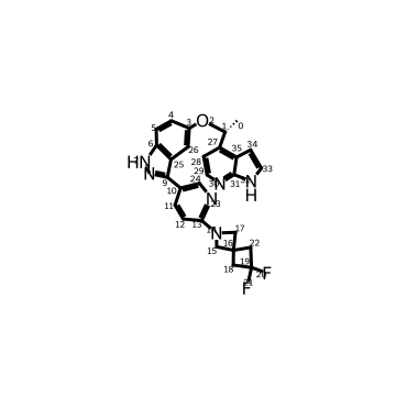 C[C@@H](Oc1ccc2[nH]nc(-c3ccc(N4CC5(C4)CC(F)(F)C5)nc3)c2c1)c1ccnc2[nH]ccc12